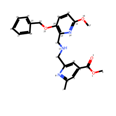 COC(=O)c1cc(C)nc(CNCc2nc(OC)ccc2OCc2ccccc2)c1